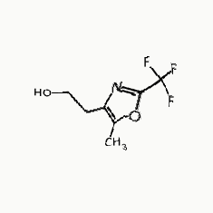 Cc1oc(C(F)(F)F)nc1CCO